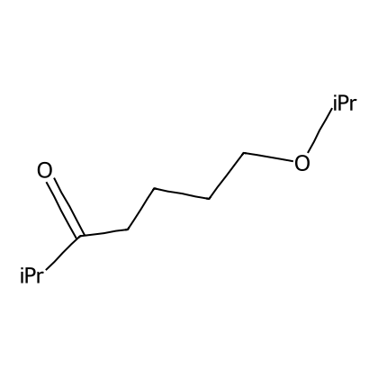 CC(C)OCCCCC(=O)C(C)C